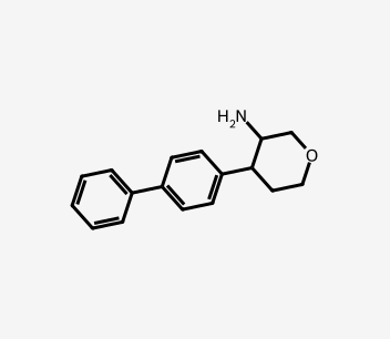 NC1COCCC1c1ccc(-c2ccccc2)cc1